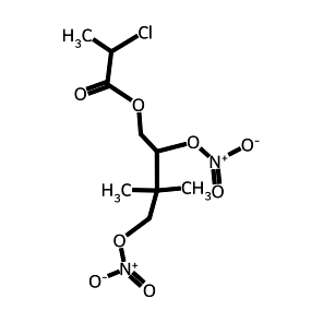 CC(Cl)C(=O)OCC(O[N+](=O)[O-])C(C)(C)CO[N+](=O)[O-]